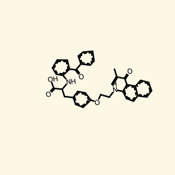 C=C(C)C(=O)c1c(NCCOc2ccc(CC(Nc3ccccc3C(=O)c3ccccc3)C(=O)O)cc2)ccc2ccccc12